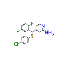 Nc1cc(C(Sc2ccc(Cl)cc2)c2cc(F)ccc2F)ccn1